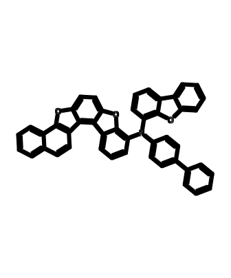 c1ccc(-c2ccc(N(c3cccc4c3oc3ccccc34)c3cccc4c3oc3ccc5oc6c7ccccc7ccc6c5c34)cc2)cc1